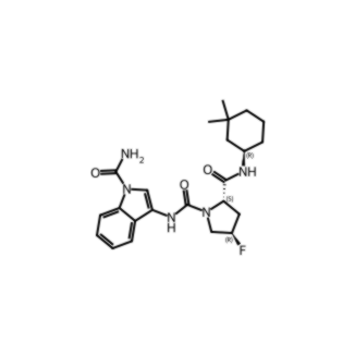 CC1(C)CCC[C@@H](NC(=O)[C@@H]2C[C@@H](F)CN2C(=O)Nc2cn(C(N)=O)c3ccccc23)C1